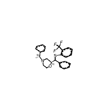 C[C@H](c1ccccc1)N1CCO[C@H](C(Sc2ccccc2C(F)(F)F)c2ccccc2)C1